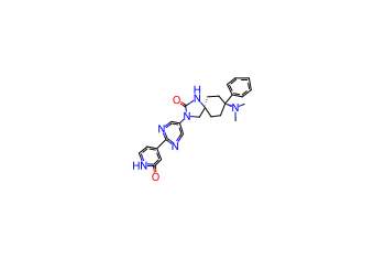 CN(C)[C@]1(c2ccccc2)CC[C@]2(CC1)CN(c1cnc(-c3cc[nH]c(=O)c3)nc1)C(=O)N2